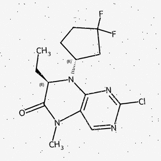 CC[C@@H]1C(=O)N(C)c2cnc(Cl)nc2N1[C@@H]1CCC(F)(F)C1